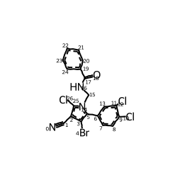 N#Cc1c(Br)c(-c2ccc(Cl)c(Cl)c2)n(CNC(=O)c2ccccc2)c1Cl